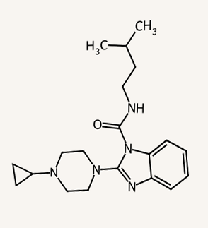 CC(C)CCNC(=O)n1c(N2CCN(C3CC3)CC2)nc2ccccc21